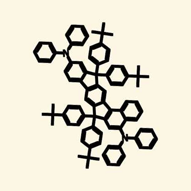 CC(C)(C)c1ccc(C2(c3ccc(C(C)(C)C)cc3)c3cc(N(c4ccccc4)c4ccccc4)ccc3-c3cc4c(cc32)-c2c(cc(N(c3ccccc3)c3ccccc3)c3ccccc23)C4(c2ccc(C(C)(C)C)cc2)c2ccc(C(C)(C)C)cc2)cc1